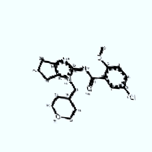 COc1ccc(Cl)cc1C(=O)N=c1sc2c(n1CC1CCOCC1)CCC2